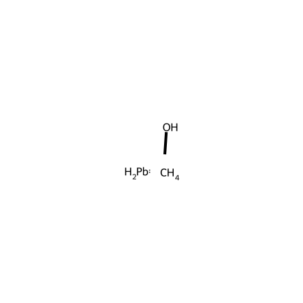 C.CO.[PbH2]